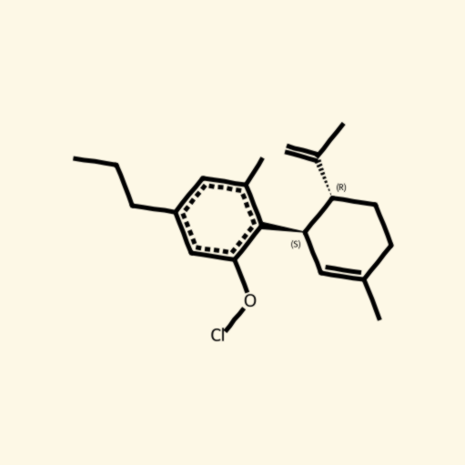 C=C(C)[C@@H]1CCC(C)=C[C@H]1c1c(C)cc(CCC)cc1OCl